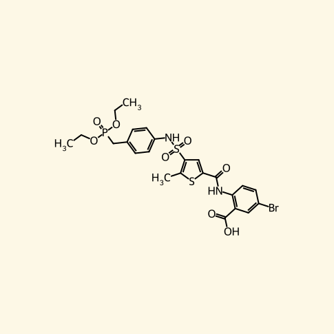 CCOP(=O)(Cc1ccc(NS(=O)(=O)c2cc(C(=O)Nc3ccc(Br)cc3C(=O)O)sc2C)cc1)OCC